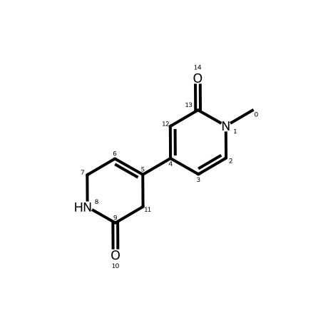 Cn1ccc(C2=CCNC(=O)C2)cc1=O